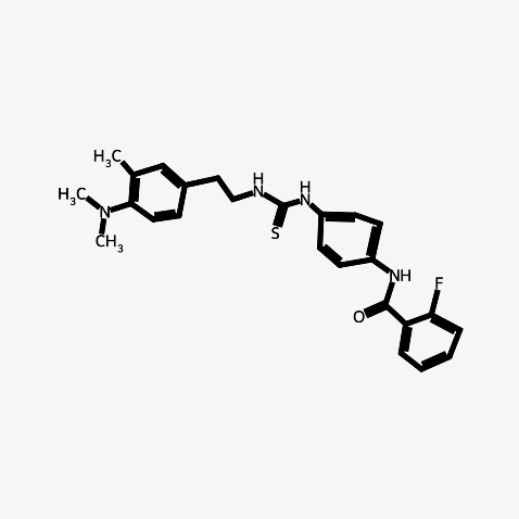 Cc1cc(CCNC(=S)Nc2ccc(NC(=O)c3ccccc3F)cc2)ccc1N(C)C